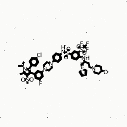 Cc1c(S(C)(=O)=O)c(-c2cc(F)cc(N3CCN(c4ccc(NS(=O)(=O)c5ccc(NC(CCN6CCC([O])CC6)C[SH]6C=CC=C6)c(S(=O)(=O)C(F)(F)F)c5)cc4)CC3)c2)c(-c2ccc(Cl)cc2)n1C(C)C